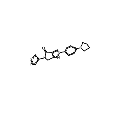 O=C1c2cn(-c3ccc(N4CCCC4)nc3)nc2CN1c1cnsc1